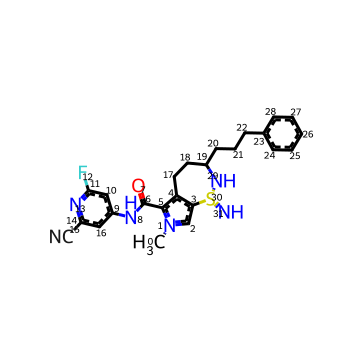 Cn1cc2c(c1C(=O)Nc1cc(F)nc(C#N)c1)CCC(CCCc1ccccc1)NS2=N